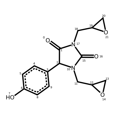 O=C1C(c2ccc(O)cc2)N(CC2CO2)C(=O)N1CC1CO1